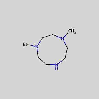 CCN1CCNCCN(C)CC1